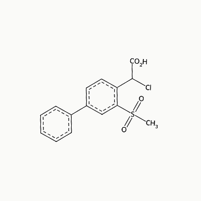 CS(=O)(=O)c1cc(-c2ccccc2)ccc1C(Cl)C(=O)O